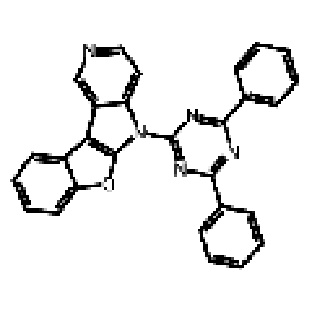 c1ccc(-c2nc(-c3ccccc3)nc(-n3c4ccncc4c4c5ccccc5oc43)n2)cc1